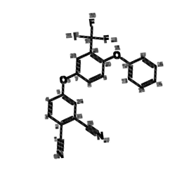 N#Cc1ccc(Oc2ccc(Oc3ccccc3)c(C(F)(F)F)c2)cc1C#N